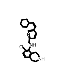 Clc1ccc2c(c1NCc1ccc(/C=C\C3CCCCC3)cn1)CCNCC2